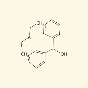 C[CH2][Al][CH2]C.OC(c1ccccc1)c1ccccc1